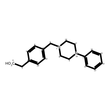 O=C(O)Cc1ccc(CN2CCN(c3ccccc3)CC2)cc1